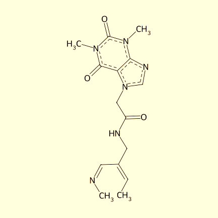 C/C=C(\C=N/C)CNC(=O)Cn1cnc2c1c(=O)n(C)c(=O)n2C